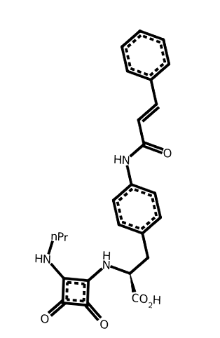 CCCNc1c(N[C@@H](Cc2ccc(NC(=O)/C=C/c3ccccc3)cc2)C(=O)O)c(=O)c1=O